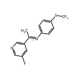 C/C(=N\c1ccc(SC(F)(F)F)cc1)c1cncc(F)c1